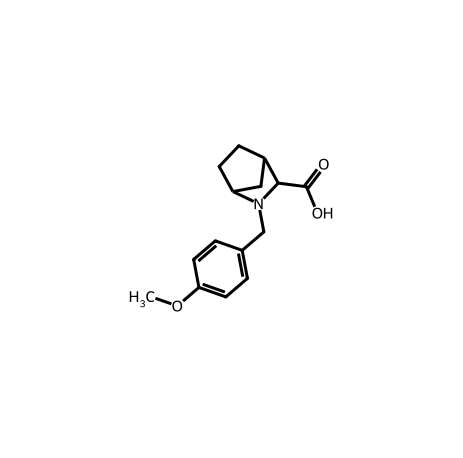 COc1ccc(CN2C3CCC(C3)C2C(=O)O)cc1